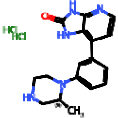 C[C@H]1CNCCN1c1cccc(-c2ccnc3[nH]c(=O)[nH]c23)c1.Cl.Cl